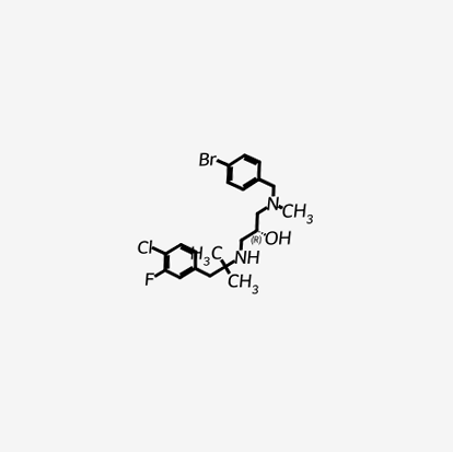 CN(Cc1ccc(Br)cc1)C[C@H](O)CNC(C)(C)Cc1ccc(Cl)c(F)c1